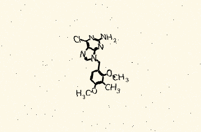 COc1ccc(Cn2cnc3c(Cl)nc(N)nc32)c(OC)c1C